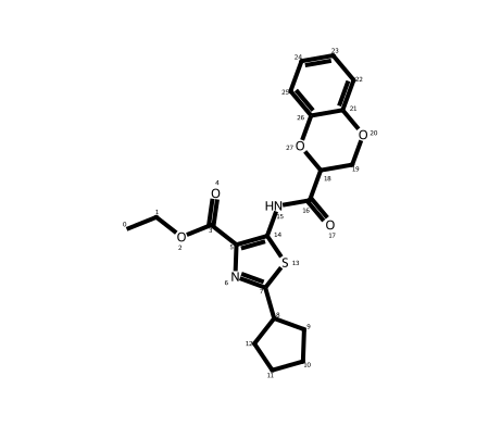 CCOC(=O)c1nc(C2CCCC2)sc1NC(=O)C1COc2ccccc2O1